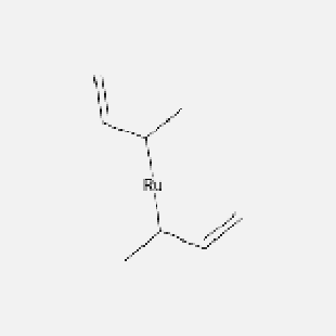 C=C[CH](C)[Ru][CH](C)C=C